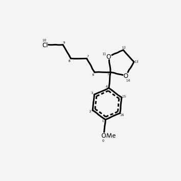 COc1ccc(C2(CCCCCl)OCCO2)cc1